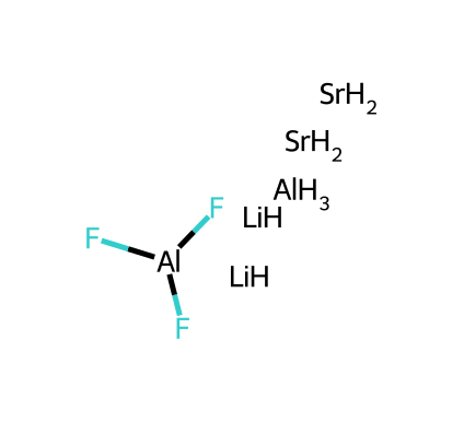 [AlH3].[F][Al]([F])[F].[LiH].[LiH].[SrH2].[SrH2]